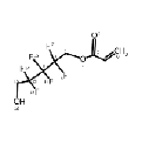 C=CC(=O)OCC(F)(F)C(F)(F)C(F)(F)CO